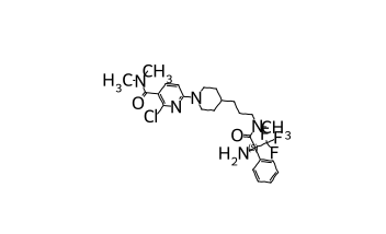 CN(C)C(=O)c1ccc(N2CCC(CCCN(C)C(=O)[C@@](N)(c3ccccc3)C(F)(F)F)CC2)nc1Cl